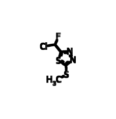 CSc1nnc(C(F)Cl)s1